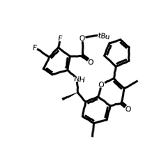 Cc1cc([C@@H](C)Nc2ccc(F)c(F)c2C(=O)OC(C)(C)C)c2oc(-c3ccccc3)c(C)c(=O)c2c1